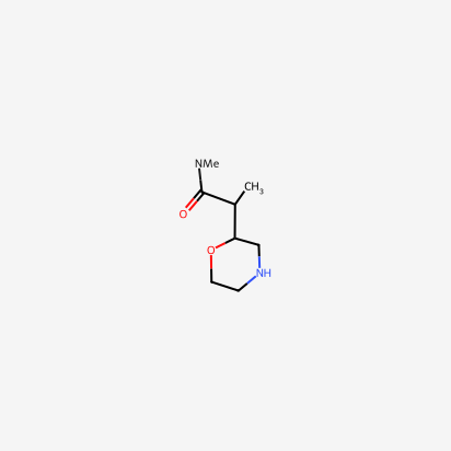 CNC(=O)C(C)C1CNCCO1